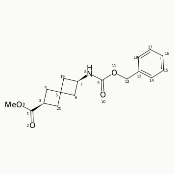 COC(=O)[C@H]1CC2(C[C@H](NC(=O)OCc3ccccc3)C2)C1